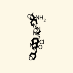 C[C@@H]1OCC2(CCN(c3cnc(Sc4ccc5ncn(CC6=CCOCC6)c(=O)c5c4Cl)cn3)CC2)[C@@H]1N